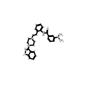 CN(C)c1cccc(C(=O)Nc2ccccc2CCN2CCN(c3nsc4ccccc34)CC2)c1